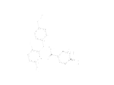 O=C(N[C@@H](c1ccc(CF)cc1)c1nc(F)ccc1F)c1ccc(=O)[nH]c1